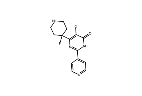 O=c1[nH]c(-c2ccncc2)nc(C2(F)CCNCC2)c1Cl